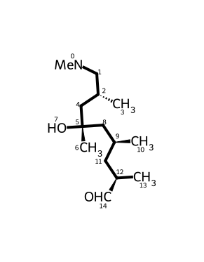 CNC[C@H](C)C[C@@](C)(O)C[C@@H](C)C[C@@H](C)C=O